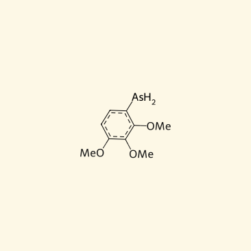 COc1ccc([AsH2])c(OC)c1OC